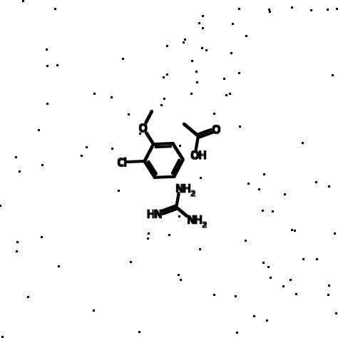 CC(=O)O.COc1ccccc1Cl.N=C(N)N